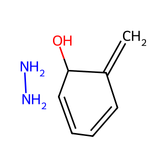 C=C1C=CC=CC1O.NN